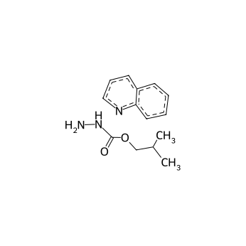 CC(C)COC(=O)NN.c1ccc2ncccc2c1